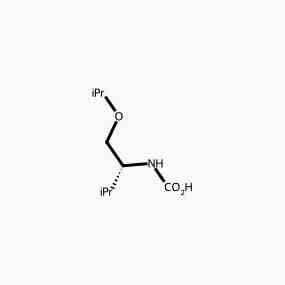 CC(C)OC[C@H](NC(=O)O)C(C)C